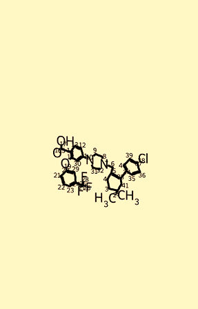 CC1(C)CCC(CN2CCN(c3ccc(C(=O)O)c(Oc4cccc(C(F)(F)F)c4)c3)CC2)=C(c2ccc(Cl)cc2)C1